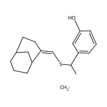 CC(SC=C1CCC2CCCC1C2)c1cccc(O)c1.[CH2]